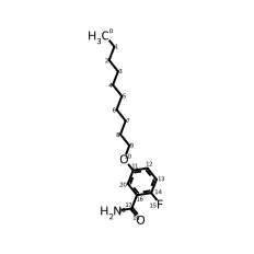 CCCCCCCCCCOc1ccc(F)c(C(N)=O)c1